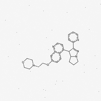 c1ccc(C2=NN3CCCC3C2c2ccnc3cc(OCCN4CCOCC4)ccc23)nc1